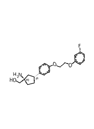 N[C@]1(CO)CC[C@@H](c2ccc(OCCOc3cccc(F)c3)cc2)C1